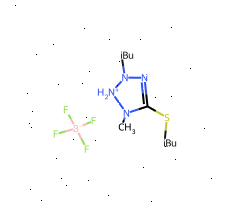 CCC(C)SC1=NN(C(C)CC)[NH2+]N1C.F[B-](F)(F)F